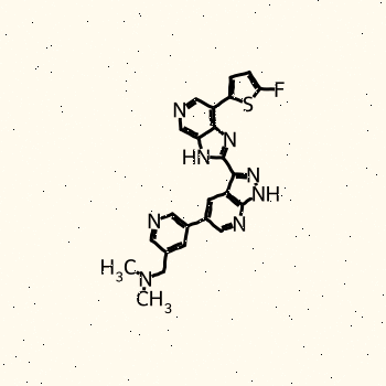 CN(C)Cc1cncc(-c2cnc3[nH]nc(-c4nc5c(-c6ccc(F)s6)cncc5[nH]4)c3c2)c1